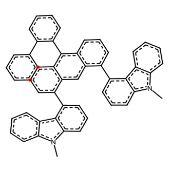 Cn1c2ccccc2c2c(-c3cccc4c(-c5ccccc5-c5ccccc5)c5cccc(-c6cccc7c6c6ccccc6n7C)c5cc34)cccc21